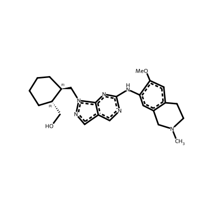 COc1cc2c(cc1Nc1ncc3cnn(C[C@@H]4CCCC[C@H]4CO)c3n1)CN(C)CC2